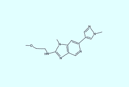 COCCNc1nc2cnc(-c3cnn(C)c3)cc2n1C